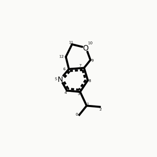 CC(C)c1cnc2c(c1)COCC2